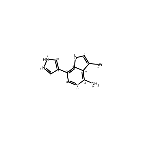 CC(C)c1coc2c(-c3cn[nH]c3)cnc(N)c12